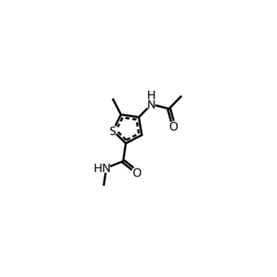 CNC(=O)c1cc(NC(C)=O)c(C)s1